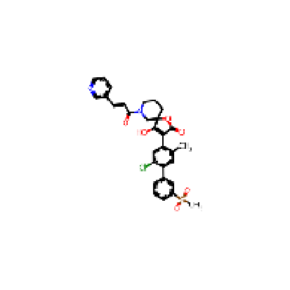 Cc1cc(-c2cccc(S(C)(=O)=O)c2)c(Cl)cc1C1=C(O)C2(CCCN(C(=O)/C=C/c3cccnc3)C2)OC1=O